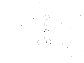 O=C(NCc1ccccn1)c1ccc2c(c1)N=C(c1ccc(Cl)cc1)c1ccccc1S2